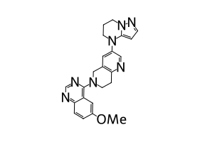 COc1ccc2ncnc(N3CCc4ncc(N5CCCn6nccc65)cc4C3)c2c1